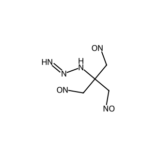 N=NNC(CN=O)(CN=O)CN=O